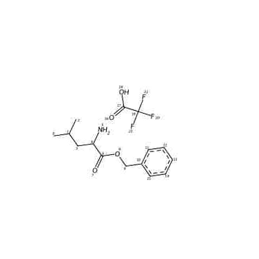 CC(C)CC(N)C(=O)OCc1ccccc1.O=C(O)C(F)(F)F